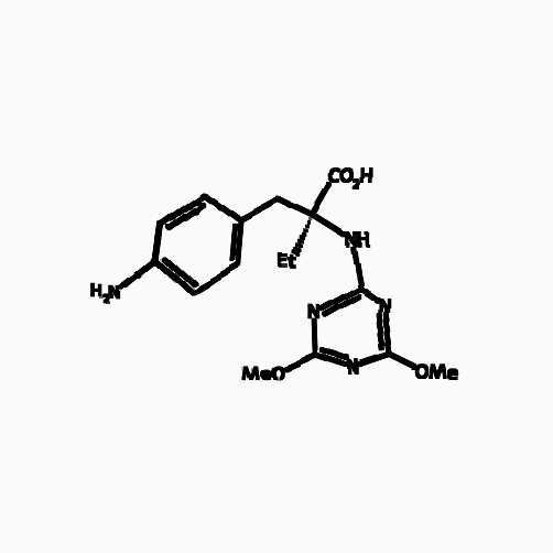 CC[C@@](Cc1ccc(N)cc1)(Nc1nc(OC)nc(OC)n1)C(=O)O